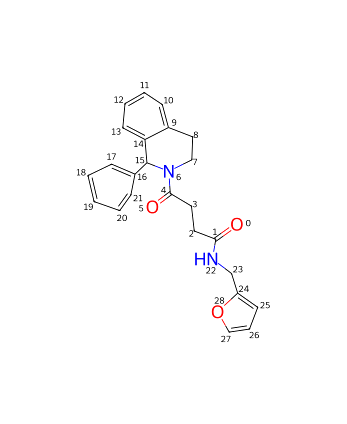 O=C(CCC(=O)N1CCc2ccccc2C1c1ccccc1)NCc1ccco1